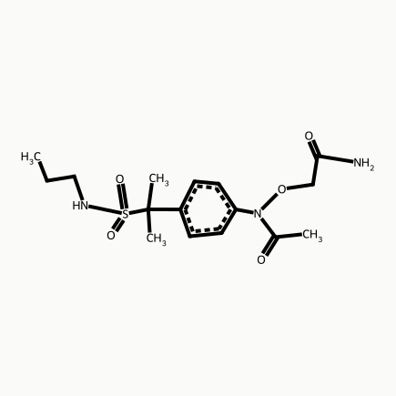 CCCNS(=O)(=O)C(C)(C)c1ccc(N(OCC(N)=O)C(C)=O)cc1